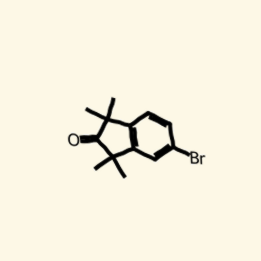 CC1(C)C(=O)C(C)(C)c2cc(Br)ccc21